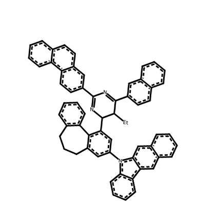 CCC1C(c2ccc3ccccc3c2)=NC(c2ccc3c(ccc4ccccc43)c2)=NC1c1cc(-n2c3ccccc3c3cc4ccccc4cc32)cc2c1-c1ccccc1CCC2